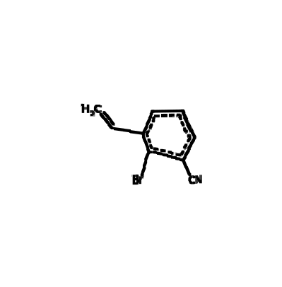 C=Cc1cccc(C#N)c1Br